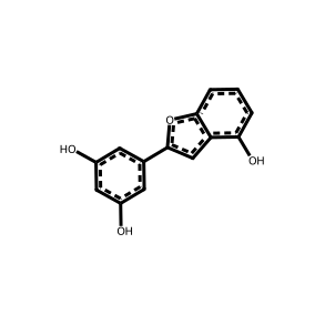 Oc1cc(O)cc(-c2cc3c(O)cccc3o2)c1